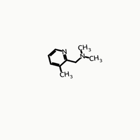 Cc1cccnc1CN(C)C